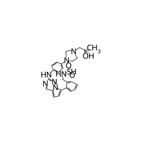 C[C@H](O)CN1CCN(c2ccc(Nc3ncc4ccc(-c5ccccc5CN[SH](=O)=O)n4n3)cc2)CC1